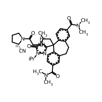 CC(C)n1nc(C2(C[C@H](C)NCC(=O)N3CCC[C@H]3C#N)c3ccc(C(=O)N(C)C)cc3CCc3cc(C(=O)N(C)C)ccc32)[nH]c1=O